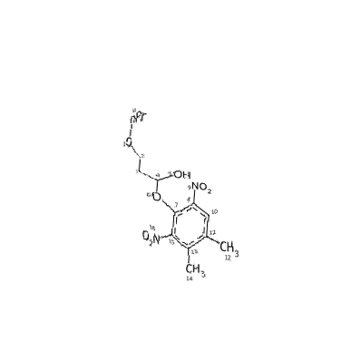 CCCOCCC(O)Oc1c([N+](=O)[O-])cc(C)c(C)c1[N+](=O)[O-]